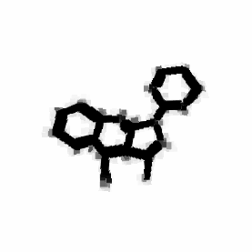 Cc1nn(-c2ncccn2)c2nc3ccccc3c(Cl)c12